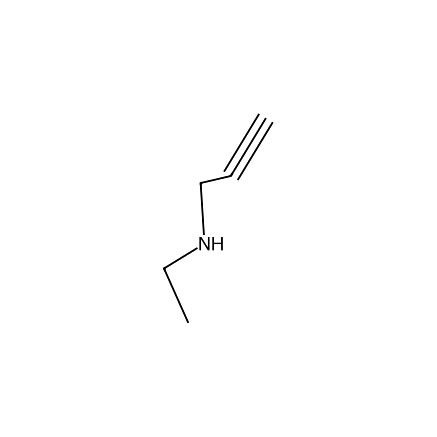 C#CCNCC